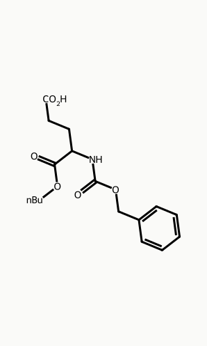 CCCCOC(=O)C(CCC(=O)O)NC(=O)OCc1ccccc1